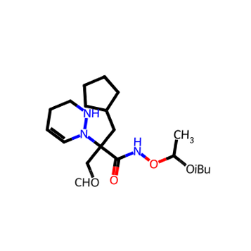 CC(C)COC(C)ONC(=O)C(CC=O)(CC1CCCC1)N1C=CCCN1